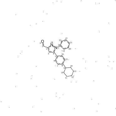 O=Cc1cc(-c2ccc(C3CCCCC3)cc2)n(-c2ccccc2)n1